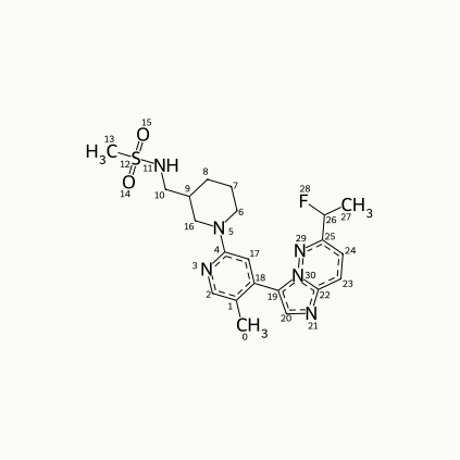 Cc1cnc(N2CCCC(CNS(C)(=O)=O)C2)cc1-c1cnc2ccc(C(C)F)nn12